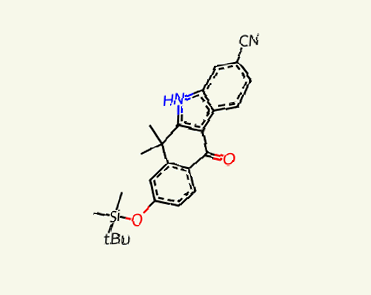 CC1(C)c2cc(O[Si](C)(C)C(C)(C)C)ccc2C(=O)c2c1[nH]c1cc(C#N)ccc21